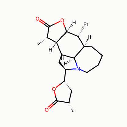 CC[C@@H]1[C@H]2CCCCN3[C@H]2[C@H](C[C@@H]3[C@@H]2C[C@H](C)C(=O)O2)[C@@H]2[C@H]1OC(=O)[C@H]2C